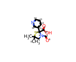 CC1(C)CN(C=O)C(C(=O)O)(c2cccnc2)S1